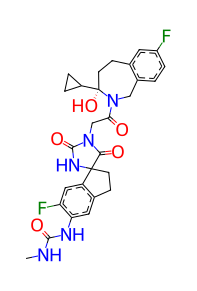 CNC(=O)Nc1cc2c(cc1F)C1(CC2)NC(=O)N(CC(=O)N2Cc3ccc(F)cc3CC[C@]2(O)C2CC2)C1=O